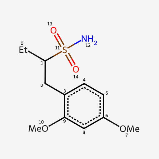 CCC(Cc1ccc(OC)cc1OC)S(N)(=O)=O